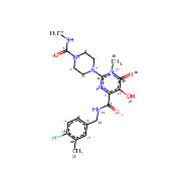 CNC(=O)N1CCN(c2nc(C(=O)NCc3ccc(F)c(C)c3)c(O)c(=O)n2C)CC1